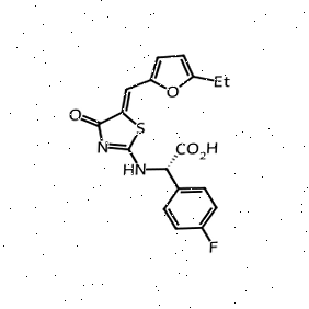 CCc1ccc(/C=C2\SC(N[C@H](C(=O)O)c3ccc(F)cc3)=NC2=O)o1